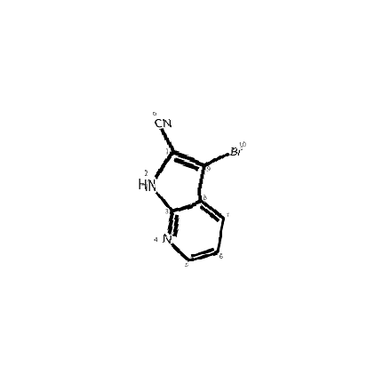 N#Cc1[nH]c2ncccc2c1Br